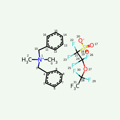 C[N+](C)(Cc1ccccc1)Cc1ccccc1.O=S(=O)([O-])C(F)(F)C(F)(F)OC(F)(F)C(F)(F)F